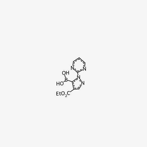 CCOC(=O)c1cnn(-c2ncccn2)c1B(O)O